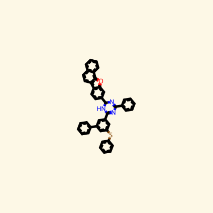 c1ccc(Sc2cc(C3=NC(c4ccccc4)=NC(c4ccc5c(c4)oc4c6ccccc6ccc54)N3)cc(-c3ccccc3)c2)cc1